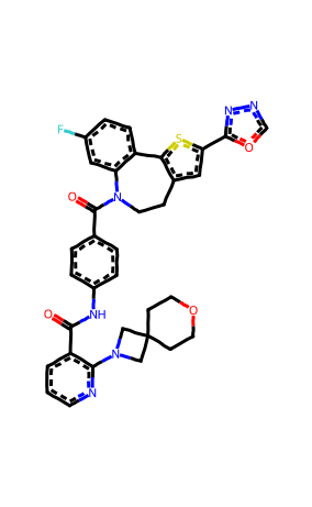 O=C(Nc1ccc(C(=O)N2CCc3cc(-c4nnco4)sc3-c3ccc(F)cc32)cc1)c1cccnc1N1CC2(CCOCC2)C1